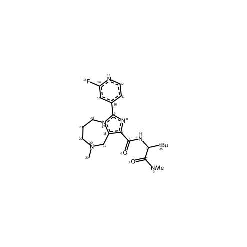 CNC(=O)C(NC(=O)c1nc(-c2ccnc(F)c2)n2c1CN(C)CCC2)C(C)(C)C